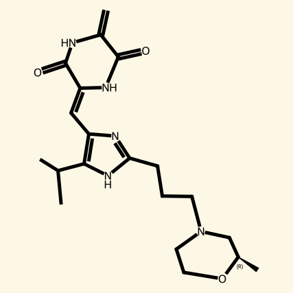 C=c1[nH]c(=O)c(=Cc2nc(CCCN3CCO[C@H](C)C3)[nH]c2C(C)C)[nH]c1=O